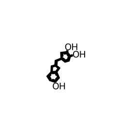 Oc1ccc2c(c1)CC(=Cc1ccc(O)c(O)c1)C2